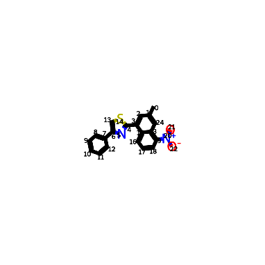 Cc1cc(-c2nc(-c3ccccc3)cs2)c2cccc([N+](=O)[O-])c2c1